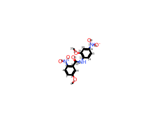 COc1ccc([N+](=O)[O-])c(C(=O)Nc2ccc([N+](=O)[O-])cc2OC)c1